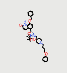 CC(C)(C)[Si](C)(C)O[C@@H](CNCC1(O)CCN(CCCCOc2ccccc2)CC1)c1ccc(OCc2ccccc2)c2[nH]c(=O)ccc12